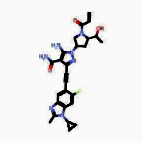 C=CC(=O)N1CC(n2nc(C#Cc3cc4nc(C)n(C5CC5)c4cc3F)c(C(N)=O)c2N)C[C@@H]1C(C)O